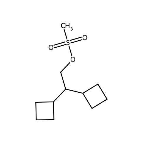 CS(=O)(=O)OCC(C1CCC1)C1CCC1